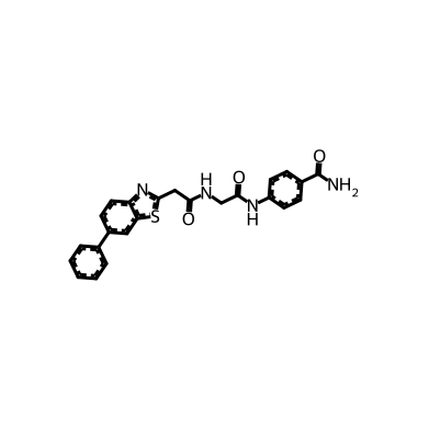 NC(=O)c1ccc(NC(=O)CNC(=O)Cc2nc3ccc(-c4ccccc4)cc3s2)cc1